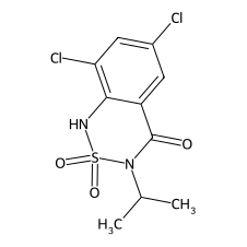 CC(C)N1C(=O)c2cc(Cl)cc(Cl)c2NS1(=O)=O